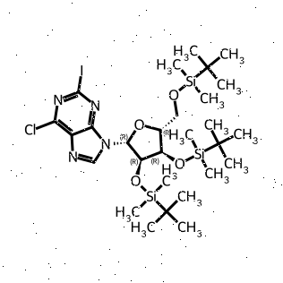 CC(C)(C)[Si](C)(C)OC[C@H]1O[C@@H](n2cnc3c(Cl)nc(I)nc32)[C@H](O[Si](C)(C)C(C)(C)C)[C@@H]1O[Si](C)(C)C(C)(C)C